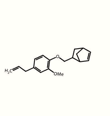 C=CCc1ccc(OCC2CC3C=CC2C3)c(OC)c1